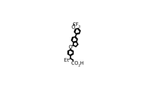 CC[C@H](CC(=O)O)c1ccc(OC2CCc3cc(-c4cccc(OC(F)(F)F)c4)ccc32)cc1